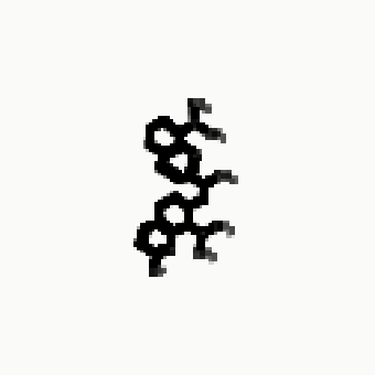 CC(C)c1ccc2c(n1)C(N(C)C)C(CC(C)c1ccc3c(n1)C(N(C)C)CCC3)CC2